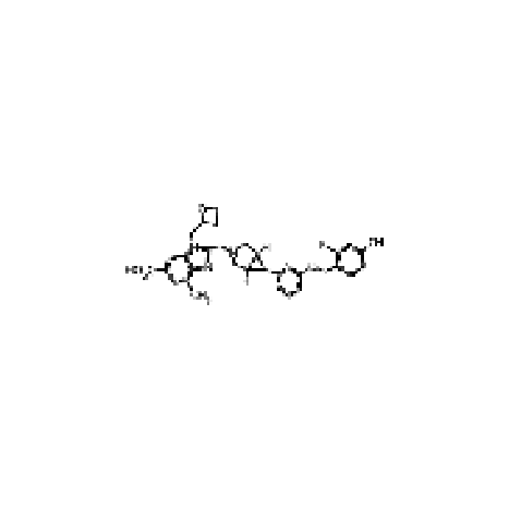 Cc1cc(C(=O)O)cc2c1nc(CN1C[C@@H]3C(c4cccc(OCc5ccc(C#N)cc5F)n4)[C@@H]3C1)n2CC1CCO1